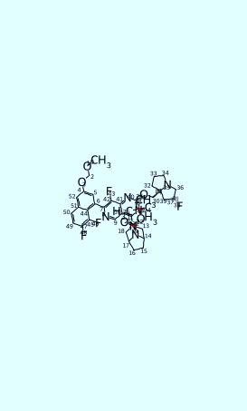 COCOc1cc(-c2ncc3c(N4CC5CCC(C4)N5C(=O)OC(C)(C)C)nc(OC[C@@]45CCCN4C[C@H](F)C5)nc3c2F)c2c(F)c(F)ccc2c1